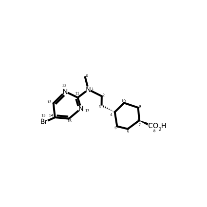 CN(CC[C@H]1CC[C@H](C(=O)O)CC1)c1ncc(Br)cn1